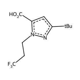 CC(C)(C)c1cc(C(=O)O)n(CCC(F)(F)F)n1